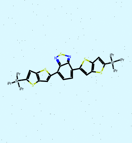 CC(C)[Si](c1cc2sc(-c3ccc(-c4cc5sc([Si](C(C)C)(C(C)C)C(C)C)cc5s4)c4nsnc34)cc2s1)(C(C)C)C(C)C